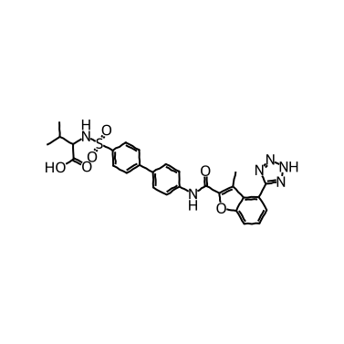 Cc1c(C(=O)Nc2ccc(-c3ccc(S(=O)(=O)NC(C(=O)O)C(C)C)cc3)cc2)oc2cccc(-c3nn[nH]n3)c12